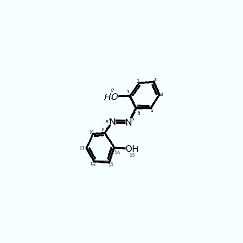 Oc1ccccc1/N=N/c1ccccc1O